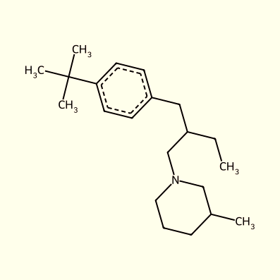 CCC(Cc1ccc(C(C)(C)C)cc1)CN1CCCC(C)C1